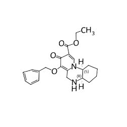 CCOC(=O)c1cn2c(c(OCc3ccccc3)c1=O)CN[C@@H]1CCCC[C@@H]12